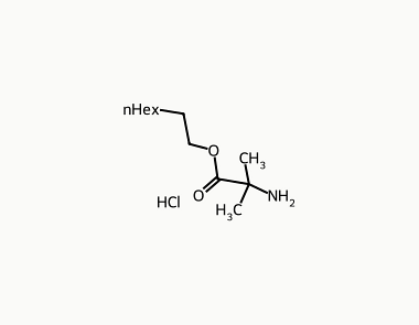 CCCCCCCCOC(=O)C(C)(C)N.Cl